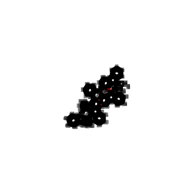 CC1(C)c2ccccc2-c2ccc(N(c3ccccc3-c3ccc4c(c3)C3(c5ccccc5-4)c4ccccc4-n4c5ccccc5c5cccc3c54)c3cccc4c3C(C)(C)c3ccccc3-4)cc21